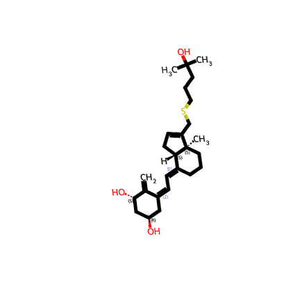 C=C1/C(=C\C=C2/CCC[C@]3(C)C(CSCCCC(C)(C)O)=CC[C@@H]23)C[C@@H](O)C[C@@H]1O